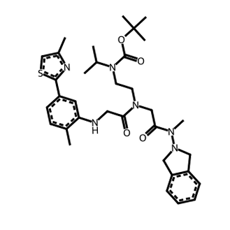 Cc1csc(-c2ccc(C)c(NCC(=O)N(CCN(C(=O)OC(C)(C)C)C(C)C)CC(=O)N(C)N3Cc4ccccc4C3)c2)n1